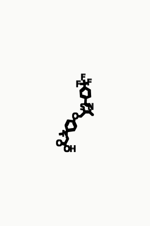 Cc1nc(-c2ccc(C(F)(F)F)cc2)sc1COc1ccc(N(C)CC(=O)O)cc1